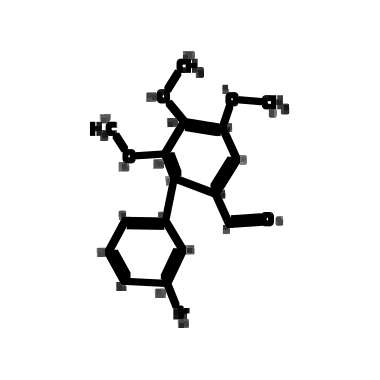 COc1cc(C=O)c(-c2cccc(Br)c2)c(OC)c1OC